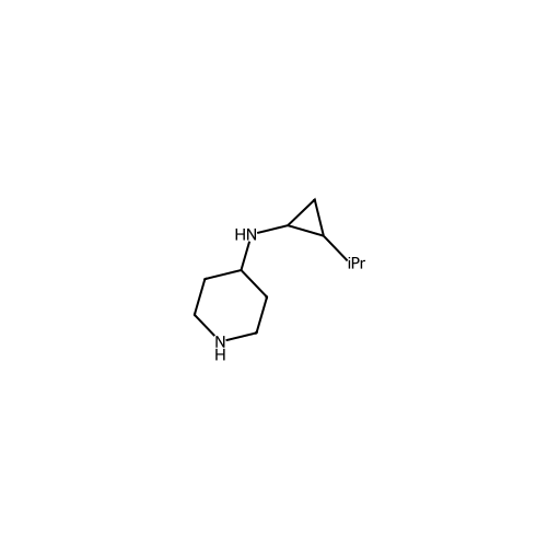 CC(C)C1CC1NC1CCNCC1